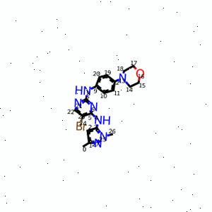 Cc1cc(Nc2nc(Nc3ccc(N4CCOCC4)cc3)ncc2Br)n(C)n1